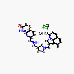 Cl.Cl.O=CC1C=Cc2ccc(F)c3c2N1CC3CN1CCC(CNCc2ccc3c(n2)NC(=O)CS3)C1